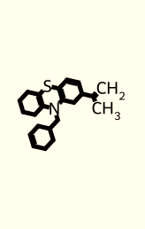 C=C(C)C1C=CC2=C(C1)N(CC1CC=CCC1)C1=C(CCCC1)S2